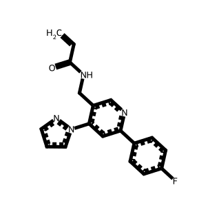 C=CC(=O)NCc1cnc(-c2ccc(F)cc2)cc1-n1cccn1